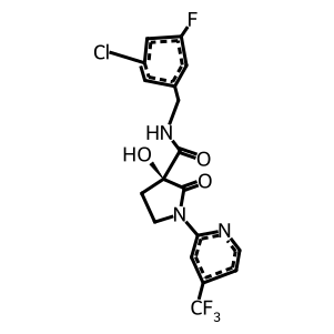 O=C(NCc1cc(F)cc(Cl)c1)[C@@]1(O)CCN(c2cc(C(F)(F)F)ccn2)C1=O